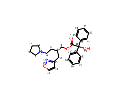 O=C(OC[C@H](CCN1CCCC1)Cc1ccon1)C(O)(c1ccccc1)c1ccccc1